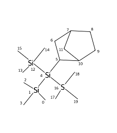 C[Si](C)(C)[Si](C1CC2CCC1C2)([Si](C)(C)C)S(C)(C)C